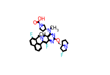 C#Cc1c(F)ccc2cccc(-c3ncc4c(N(C)[C@@H]5CCN(C(=O)O)C5)nc(OC[C@]56CCCN5C[C@H](F)C6)nc4c3F)c12